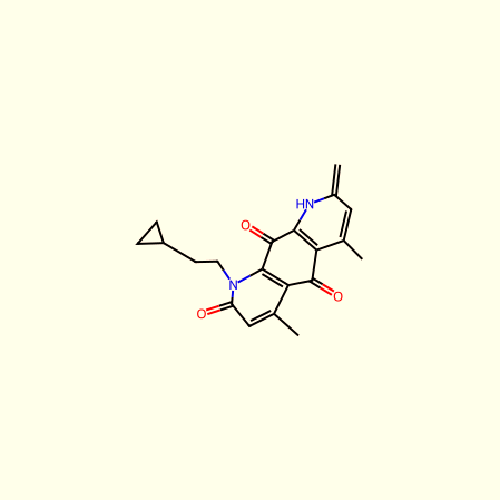 C=C1C=C(C)C2=C(N1)C(=O)c1c(c(C)cc(=O)n1CCC1CC1)C2=O